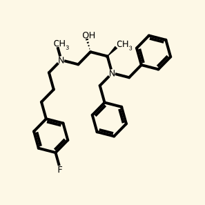 C[C@H]([C@@H](O)CN(C)CCCc1ccc(F)cc1)N(Cc1ccccc1)Cc1ccccc1